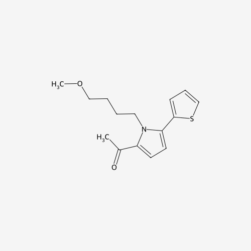 COCCCCn1c(C(C)=O)ccc1-c1cccs1